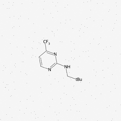 CC(C)(C)CNc1nccc(C(F)(F)F)n1